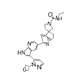 CCNC(=O)N1CCC2(CCn3nc(-c4cnc5[nH]cc(-c6ccnn6C6COC6)c5c4)cc32)C1